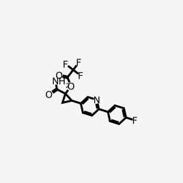 NC(=O)C1(OC(=O)C(F)(F)F)CC1c1ccc(-c2ccc(F)cc2)nc1